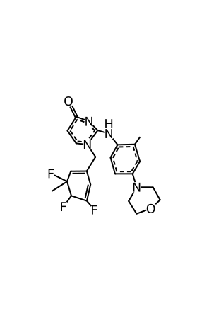 Cc1cc(N2CCOCC2)ccc1Nc1nc(=O)ccn1CC1=CC(C)(F)C(F)C(F)=C1